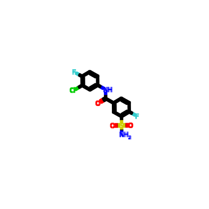 NS(=O)(=O)c1cc(C(=O)Nc2ccc(F)c(Cl)c2)ccc1F